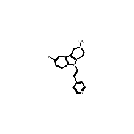 CN1CCc2c(c3cc(F)ccc3n2C=Cc2ccncc2)C1